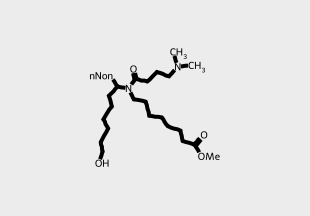 CCCCCCCCCC(CCCCCCO)N(CCCCCCCC(=O)OC)C(=O)CCCN(C)C